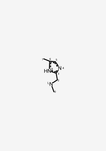 C[N]Cc1ncc(C)[nH]1